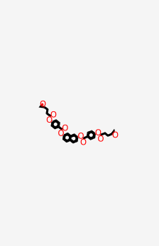 O=C(CCC1CO1)Oc1ccc(C(=O)Oc2ccc3ccc(OC(=O)c4ccc(OC(=O)CCC5CO5)cc4)cc3c2)cc1